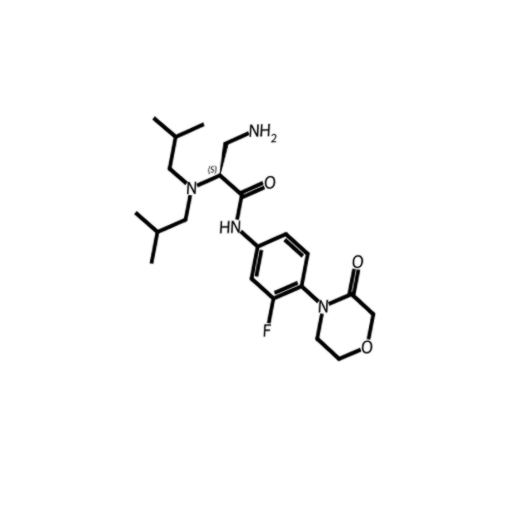 CC(C)CN(CC(C)C)[C@@H](CN)C(=O)Nc1ccc(N2CCOCC2=O)c(F)c1